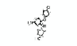 Nc1ncc(Oc2ccc(Cl)cc2)c(N[C@H]2CC[C@@H](O)CC2)n1